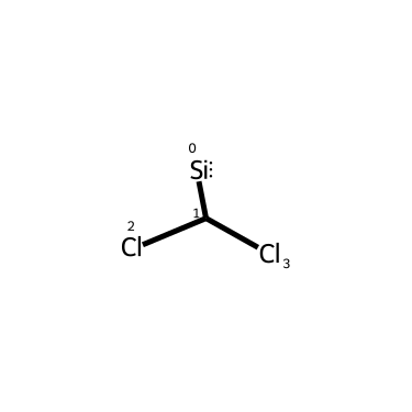 [Si]C(Cl)Cl